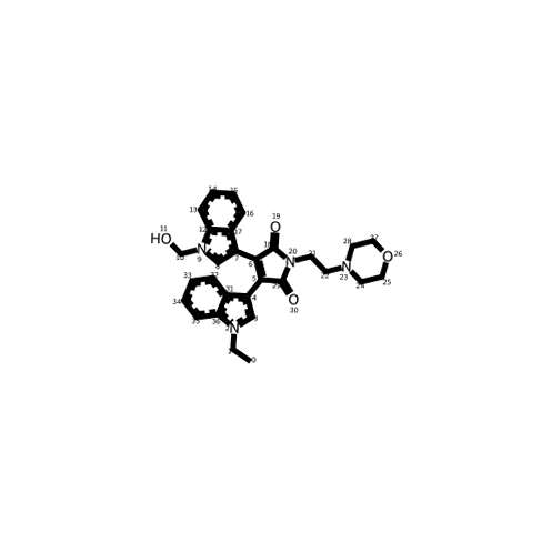 CCn1cc(C2=C(c3cn(CO)c4ccccc34)C(=O)N(CCN3CCOCC3)C2=O)c2ccccc21